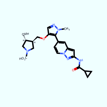 CO[C@H]1CN(C(=O)O)C[C@@H]1COc1cnn(C)c1-c1ccn2nc(NC(=O)C3CC3)cc2c1